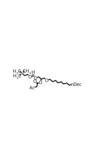 CCCCCCCCCCCCCCCCCCOCC(COPOCC[N+](C)(C)C)OC(=O)CC(C)=O